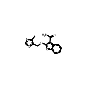 Cc1ncsc1COc1oc2ccccc2c1C(N)=O